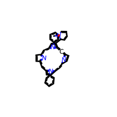 CN1C=CC=CC1c1cc2cc3nc(cc4ccc(cc5nc(cc1n2-c1ccccc1)C=C5)n4-c1ccccc1)C=C3